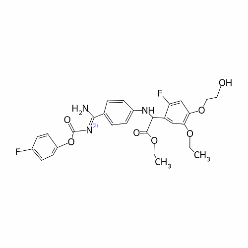 CCOC(=O)C(Nc1ccc(/C(N)=N/C(=O)Oc2ccc(F)cc2)cc1)c1cc(OCC)c(OCCO)cc1F